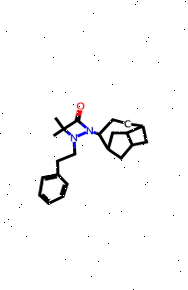 CC1(C)C(=O)N(C2CCC3CC4CC2CC34)N1CCc1ccccc1